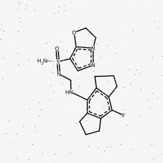 N[S@@](=O)(=NCNc1c2c(c(F)c3c1CCC3)CCC2)c1cnn2c1OCC2